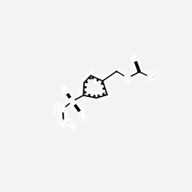 CNS(=O)(=O)c1ccc(COC(=O)O)cc1